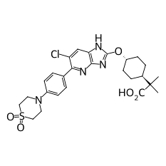 CC(C)(C(=O)O)[C@H]1CC[C@H](Oc2nc3nc(-c4ccc(N5CCS(=O)(=O)CC5)cc4)c(Cl)cc3[nH]2)CC1